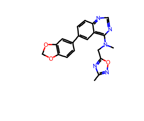 Cc1noc(CN(C)c2ncnc3ccc(-c4ccc5c(c4)OCO5)cc23)n1